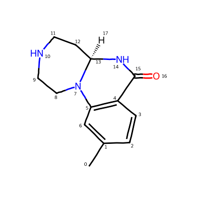 Cc1ccc2c(c1)N1CCNCC[C@H]1NC2=O